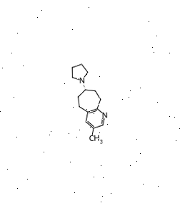 Cc1cnc2c(c1)CC[C@H](N1CCCC1)CC2